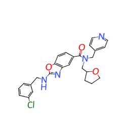 O=C(c1ccc2oc(NCc3cccc(Cl)c3)nc2c1)N(Cc1ccncc1)CC1CCCO1